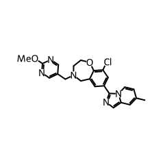 COc1ncc(CN2CCOc3c(Cl)cc(-c4ncc5cc(C)ccn45)cc3C2)cn1